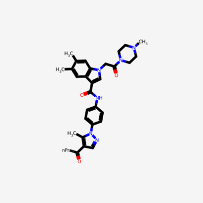 CCCC(=O)c1cnn(-c2ccc(NC(=O)c3cn(CC(=O)N4CCN(C)CC4)c4cc(C)c(C)cc34)cc2)c1C